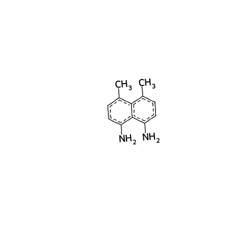 Cc1ccc(N)c2c(N)ccc(C)c12